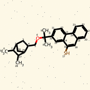 CC1C2CC(COC(C)(C)c3ccc4c(c3)c(S)cc3ccccc34)C(C2)C1C